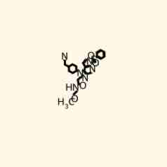 COCCNC(=O)Cc1nc2cnc3c(ccn3S(=O)(=O)c3ccccc3)c2n1C1CCC(CC#N)CC1